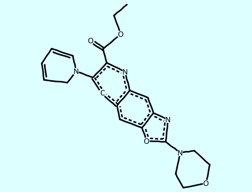 CCOC(=O)c1nc2cc3nc(N4CCOCC4)oc3cc2cc1N1C=CC=CC1